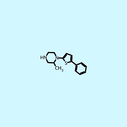 CC1CNCCN1c1ccc(-c2ccccc2)s1